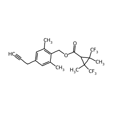 C#CCc1cc(C)c(COC(=O)C2C(C)(C(F)(F)F)C2(C)C(F)(F)F)c(C)c1